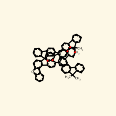 CC1(C)c2ccccc2-c2cc(N(c3ccc4c(c3)C3(c5ccccc5-c5ccc(N(c6ccc7c(c6)C(C)(C)c6ccccc6-7)c6ccccc6-c6ccccc6)cc53)c3ccc5oc6ccccc6c5c3-4)c3ccccc3-c3ccccc3)ccc21